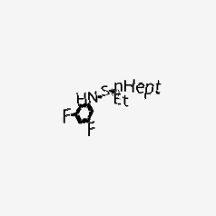 CCCCCCC[C@@H](CC)SCNc1cc(F)cc(F)c1